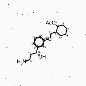 CC(=O)OC1CCCCC1COc1cccc([C@H](O)CCN)c1